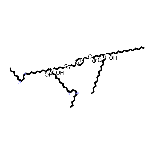 CCCCC/C=C\C/C=C\CCCCCCC(O)CN(CCCCSSCCN1CCN(CCOC(=O)CCCN(CC(O)CCCCCCCCCCCC)CC(O)CCCCCCCCCCCC)CC1)CC(O)CCCCCC/C=C\C/C=C\CCCCC